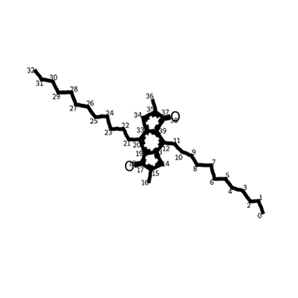 CCCCCCCCCCCCc1c2cc(C)c(=O)c2c(CCCCCCCCCCCC)c2cc(C)c(=O)c12